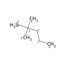 CCCC(C)(C)[SiH2]